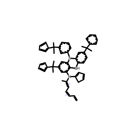 C=C/C=C\C=C(/C)N(C1=CC=CC1)c1cc(C(C)(C)C2=C=CC=C2)cc2c1Bc1ccc(C(C)(C)c3ccccc3)cc1N2c1cccc(C(C)(C)C2=C=CC=C2)c1